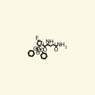 NC(=O)CC[C@H](N)C(=O)N1C[C@H](F)C[C@@H]1P(=O)(Oc1ccccc1)Oc1ccccc1